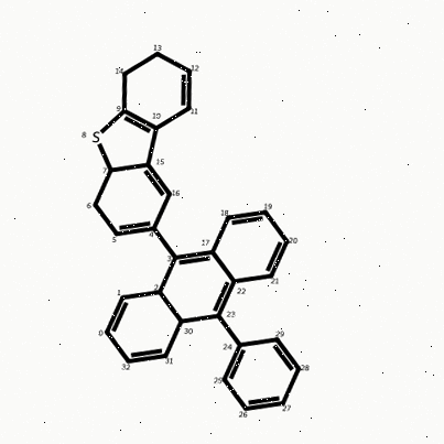 C1=CC2C(C3=CCC4SC5=C(C=CCC5)C4=C3)=c3ccccc3=C(c3ccccc3)C2C=C1